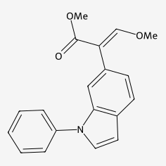 CO/C=C(/C(=O)OC)c1ccc2ccn(-c3ccccc3)c2c1